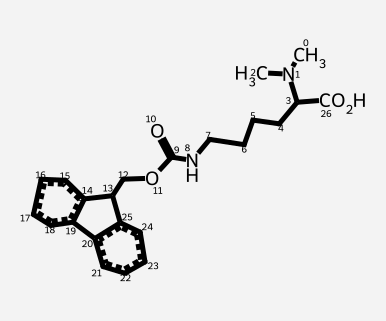 CN(C)C(CCCCNC(=O)OCC1c2ccccc2-c2ccccc21)C(=O)O